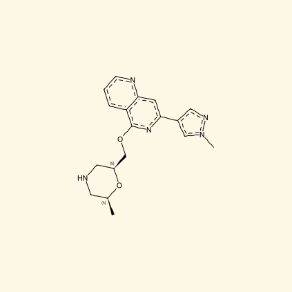 C[C@H]1CNC[C@@H](COc2nc(-c3cnn(C)c3)cc3ncccc23)O1